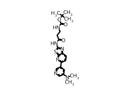 CN(C)c1cncc(-c2ccc3nc(NC(=O)CCNC(=O)OC(C)(C)C)sc3n2)c1